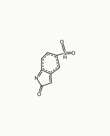 O=C1C=c2cc([SH](=O)=O)ccc2=N1